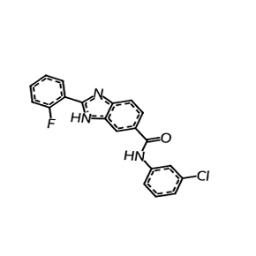 O=C(Nc1cccc(Cl)c1)c1ccc2nc(-c3ccccc3F)[nH]c2c1